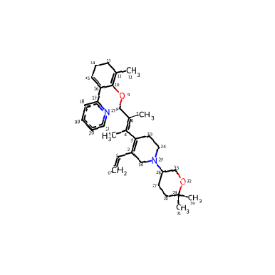 C=CC1=C(/C(C)=C(\C)COC2=C(C)CCC=C2c2ccccn2)CCN(C2CCC(C)(C)OC2)C1